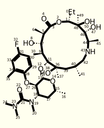 CC[C@H]1OC(=O)[C@H](C)[C@@H](O)[C@H](C)[C@@H](O[C@@H]2O[C@H](C)C[C@H](N(C)C(=O)N(C)C)[C@H]2Oc2ccc(F)cc2C)[C@](C)(O)C[C@@H](C)CN[C@H](C)[C@@H](O)[C@]1(C)O